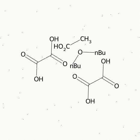 CC(=O)O.CCCCOCCCC.O=C(O)C(=O)O.O=C(O)C(=O)O